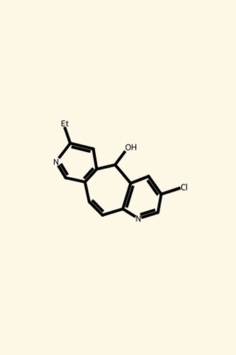 CCc1cc2c(cn1)C=Cc1ncc(Cl)cc1C2O